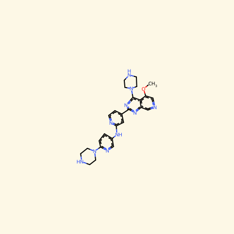 COc1cncc2nc(-c3ccnc(Nc4ccc(N5CCNCC5)nc4)c3)nc(N3CCNCC3)c12